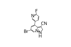 N#CC1=C2C(c3ccc(F)nc3)=CC(Br)=CN2NC1